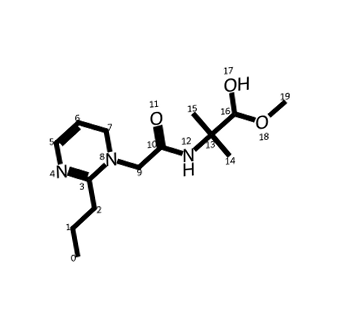 CCCC1=NC=CCN1CC(=O)NC(C)(C)C(O)OC